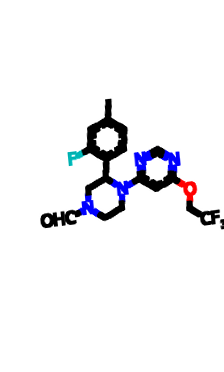 Cc1ccc(C2CN(C=O)CCN2c2cc(OCC(F)(F)F)ncn2)c(F)c1